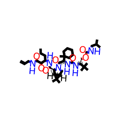 C=CCNC(=O)C(=O)C(CCC)NC(=O)[C@@H]1[C@@H]2[C@H](CN1C(=O)[C@@H](NC(=O)N[C@H](COC(=O)NCC(C)C)C(C)(C)C)C1(C)CCCCC1)C2(C)C